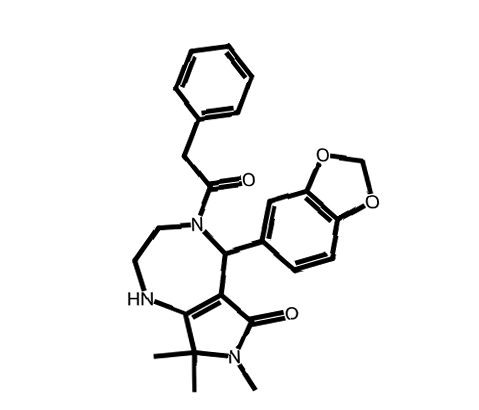 CN1C(=O)C2=C(NCCN(C(=O)Cc3ccccc3)C2c2ccc3c(c2)OCO3)C1(C)C